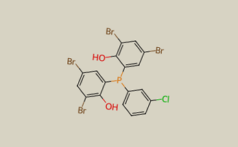 Oc1c(Br)cc(Br)cc1P(c1cccc(Cl)c1)c1cc(Br)cc(Br)c1O